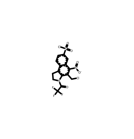 O=C(N1CCc2c1c(CCl)c([N+](=O)[O-])c1cc(S(=O)(=O)Cl)ccc21)C(F)(F)F